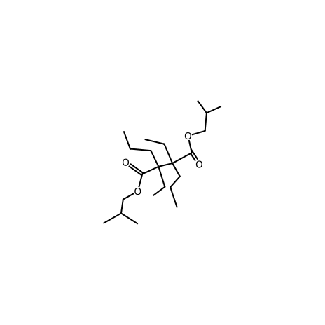 CCCC(CC)(C(=O)OCC(C)C)C(CC)(CCC)C(=O)OCC(C)C